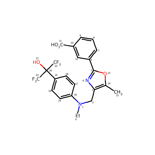 CCN(Cc1nc(-c2cccc(C(=O)O)c2)oc1C)c1ccc(C(O)(C(F)(F)F)C(F)(F)F)cc1